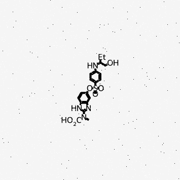 CCC(CO)Nc1ccc(S(=O)(=O)Oc2ccc3[nH]c(N(C)C(=O)O)nc3c2)cc1